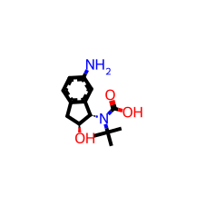 CC(C)(C)N(C(=O)O)[C@H]1c2cc(N)ccc2C[C@@H]1O